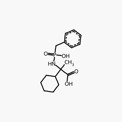 CC(NP(=O)(O)Cc1ccccc1)(C(=O)O)C1CCCCC1